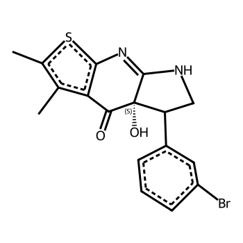 Cc1sc2c(c1C)C(=O)[C@@]1(O)C(=N2)NCC1c1cccc(Br)c1